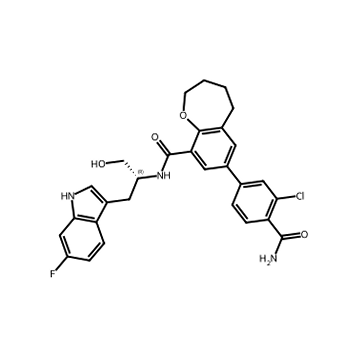 NC(=O)c1ccc(-c2cc3c(c(C(=O)N[C@@H](CO)Cc4c[nH]c5cc(F)ccc45)c2)OCCCC3)cc1Cl